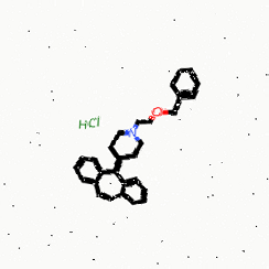 C1=Cc2ccccc2C(=C2CCN(CCOCc3ccccc3)CC2)c2ccccc21.Cl